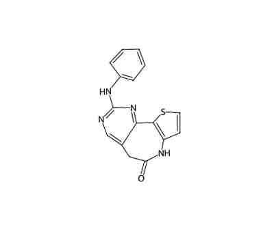 O=C1Cc2cnc(Nc3ccccc3)nc2-c2sccc2N1